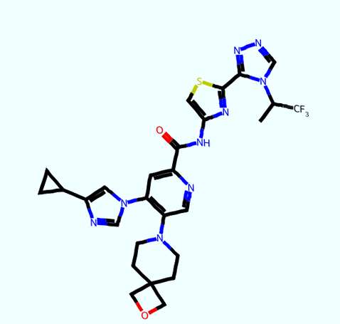 CC(n1cnnc1-c1nc(NC(=O)c2cc(-n3cnc(C4CC4)c3)c(N3CCC4(CC3)COC4)cn2)cs1)C(F)(F)F